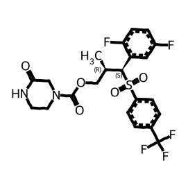 C[C@H](COC(=O)N1CCNC(=O)C1)[C@@H](c1cc(F)ccc1F)S(=O)(=O)c1ccc(C(F)(F)F)cc1